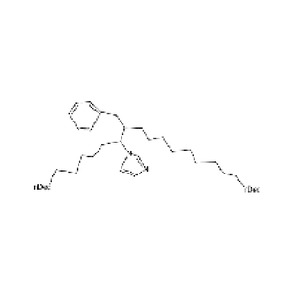 CCCCCCCCCCCCCCCCCCCC(Cc1ccccc1)C(CCCCCCCCCCCCCCC)n1ccnc1